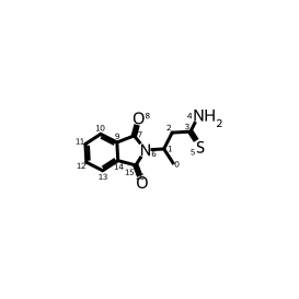 CC(CC(N)=S)N1C(=O)c2ccccc2C1=O